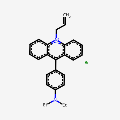 C=CC[n+]1c2ccccc2c(-c2ccc(N(CC)CC)cc2)c2ccccc21.[Br-]